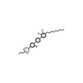 CCCCCCCCCc1ccc(-c2ccc(-c3ccc(C4COC(CCC)OC4)cc3F)cc2)c(F)c1F